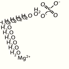 O.O.O.O.O.O.O.O.O.O.O.O.O=S(=O)([O-])[O-].[Mg+2]